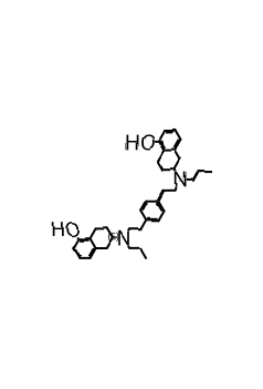 CCCN(CCc1ccc(CCN(CCC)[C@H]2CCc3c(O)cccc3C2)cc1)C1CCc2c(O)cccc2C1